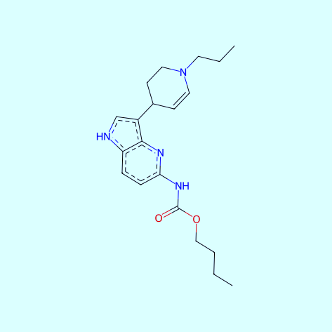 CCCCOC(=O)Nc1ccc2[nH]cc(C3C=CN(CCC)CC3)c2n1